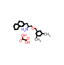 Cc1cc(C)cc(COCC(N)Cc2ccc3ccccc3c2)c1.O=C(O)C(=O)O